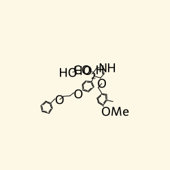 COc1ccc(COC2CNCC(O)C2c2ccc(OCCCOCc3ccccc3)cc2)cc1C.O=C(O)O